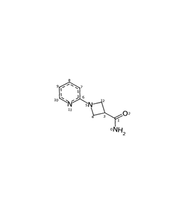 NC(=O)C1CN(c2ccccn2)C1